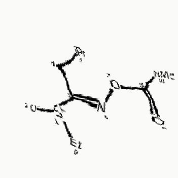 CC[S+]([O-])C(CC(C)C)=NOC(=O)NC